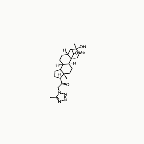 CO[C@@H](C)[C@]12CC[C@@](C)(O)C[C@H]1CC[C@H]1[C@@H]3CC[C@H](C(=O)Cn4nnnc4C)[C@@]3(C)CC[C@@H]12